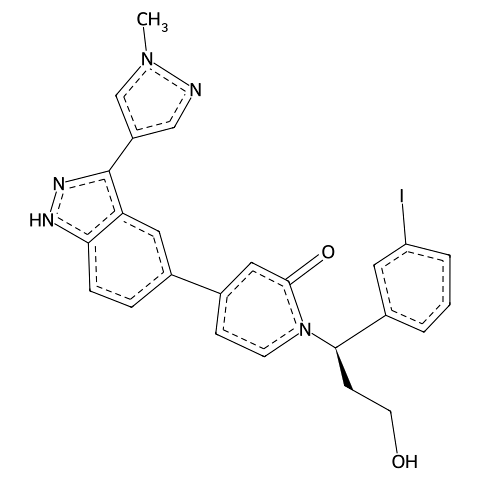 Cn1cc(-c2n[nH]c3ccc(-c4ccn([C@H](CCO)c5cccc(I)c5)c(=O)c4)cc23)cn1